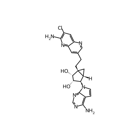 Nc1nc2cc(CC[C@@]34C[C@@H]3[C@@H](n3ccc5c(N)ncnc53)[C@H](O)[C@@H]4O)cnc2cc1Cl